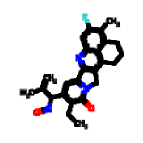 C=C(C)C(N=O)c1cc2n(c(=O)c1CC)Cc1c-2nc2cc(F)c(C)c3c2c1CCC3